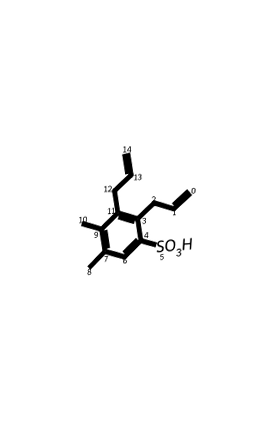 C=CCc1c(S(=O)(=O)O)cc(C)c(C)c1CC=C